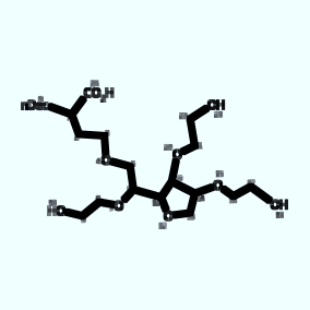 CCCCCCCCCCC(CCOCC(OCCO)C1OCC(OCCO)C1OCCO)C(=O)O